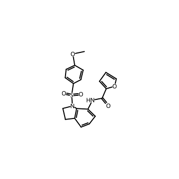 COc1ccc(S(=O)(=O)N2CCc3cccc(NC(=O)c4ccco4)c32)cc1